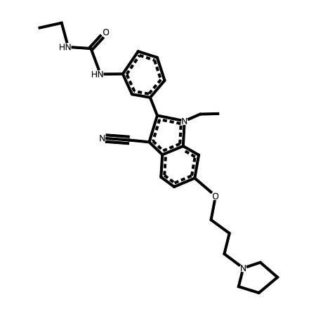 CCNC(=O)Nc1cccc(-c2c(C#N)c3ccc(OCCCN4CCCC4)cc3n2CC)c1